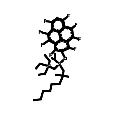 CCCCCCC(C)(C)C[Si](C[Si](CC)(CC)CC)(Oc1c(F)c2c(F)c(F)c3c(F)[c]c(F)c4c(F)c(F)c(c1F)c2c34)C(C)C